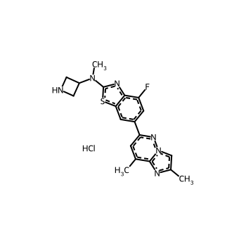 Cc1cn2nc(-c3cc(F)c4nc(N(C)C5CNC5)sc4c3)cc(C)c2n1.Cl